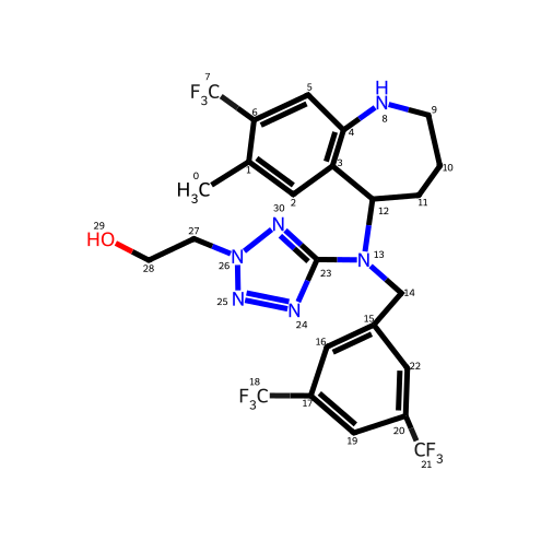 Cc1cc2c(cc1C(F)(F)F)NCCCC2N(Cc1cc(C(F)(F)F)cc(C(F)(F)F)c1)c1nnn(CCO)n1